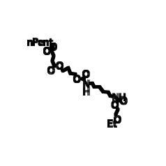 CCCCCOC(=O)CCC(=O)OCCCCOC(=O)NCCCCCCNC(=O)OCCOCC